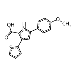 COc1ccc(-c2cc(-c3cccs3)c(C(=O)O)[nH]2)cc1